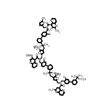 COc1cnc2cccnc2c1C(=O)N(Cc1cc(CC(C)(C(=O)O)c2cccc(-c3ccc(CN(Cc4ccc(C(F)(F)F)o4)C(=O)c4c(C)c(C)nc5cccnc45)c(F)c3)c2)c(C(F)(F)F)o1)Cc1ccc(-c2cccc(C(C)(Cc3cc(CN(Cc4ccc(-c5cccc(C(C)(C)C(=O)O)c5)cc4Cl)C(=O)c4cc(C)nc5cccnc45)oc3C(F)(F)F)C(=O)O)c2)cc1Cl